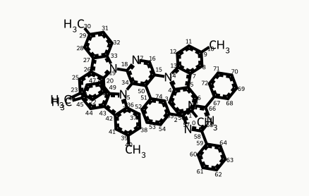 Cc1ccc2c(c1)c1cc(C)ccc1n2-c1cnc(-n2c3ccc(C)cc3c3cc(C)ccc32)c(-n2c3ccc(C)cc3c3cc(C)ccc32)c1-c1cccc(-c2nc(-c3ccccc3)nc(-c3ccccc3)n2)c1